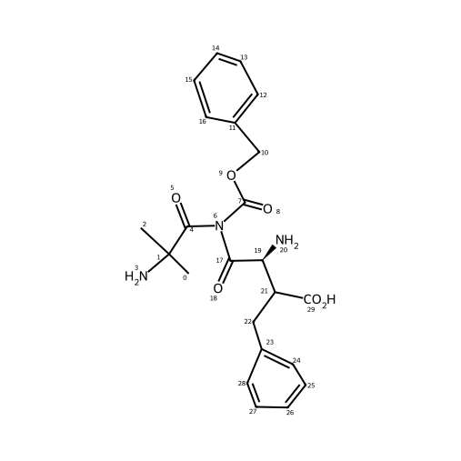 CC(C)(N)C(=O)N(C(=O)OCc1ccccc1)C(=O)[C@@H](N)C(Cc1ccccc1)C(=O)O